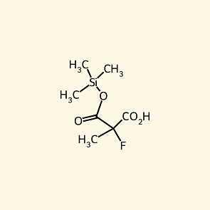 CC(F)(C(=O)O)C(=O)O[Si](C)(C)C